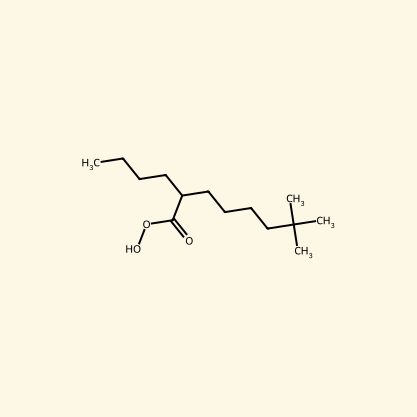 CCCCC(CCCCC(C)(C)C)C(=O)OO